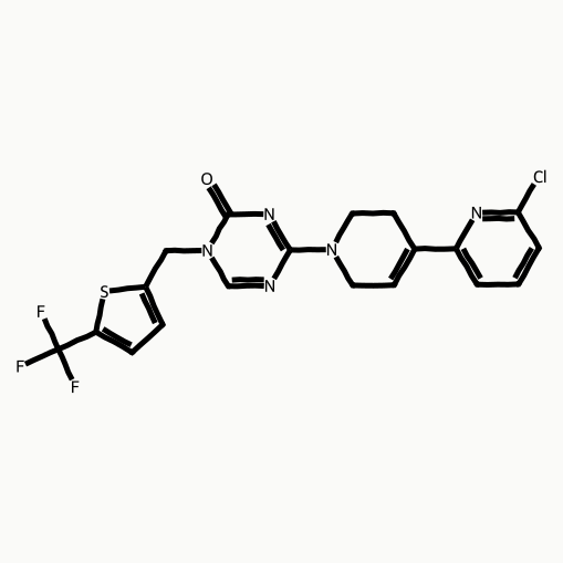 O=c1nc(N2CC=C(c3cccc(Cl)n3)CC2)ncn1Cc1ccc(C(F)(F)F)s1